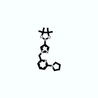 CC1(C)OB(c2cnn(Cc3cccc(N4CCCC4)n3)c2)OC1(C)C